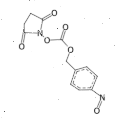 O=Nc1ccc(COC(=O)ON2C(=O)CCC2=O)cc1